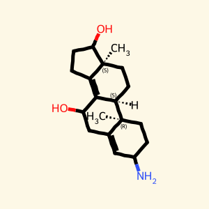 C[C@]12CC[C@@H]3C(=C1CCC2O)C(O)CC1=CC(N)CC[C@@]13C